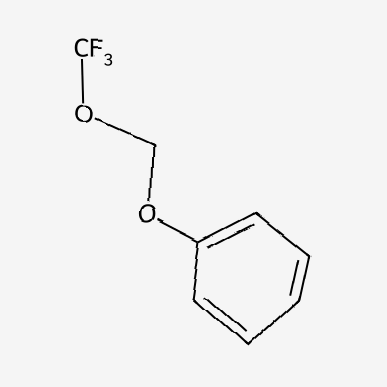 FC(F)(F)OCOc1ccccc1